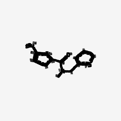 CN(Cc1cccs1)C(=O)c1ccc(C(C)(C)C)s1